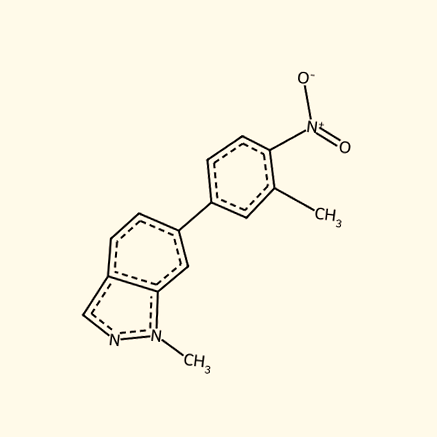 Cc1cc(-c2ccc3cnn(C)c3c2)ccc1[N+](=O)[O-]